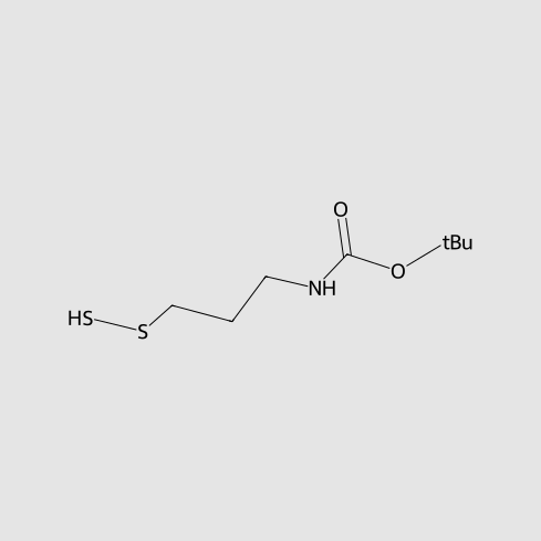 CC(C)(C)OC(=O)NCCCSS